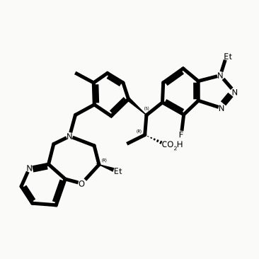 CC[C@@H]1CN(Cc2cc([C@@H](c3ccc4c(nnn4CC)c3F)[C@@H](C)C(=O)O)ccc2C)Cc2ncccc2O1